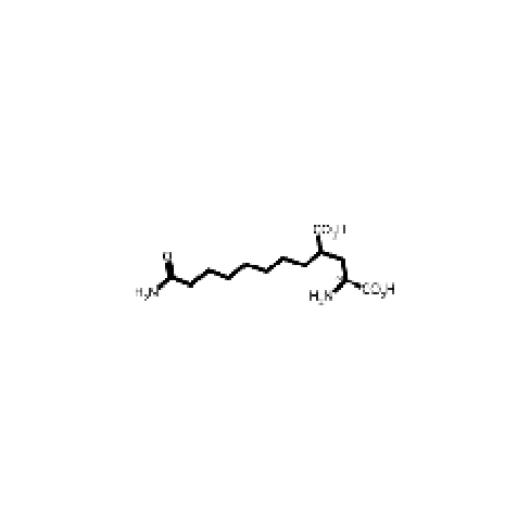 NC(=O)CCCCCCCC(C[C@H](N)C(=O)O)C(=O)O